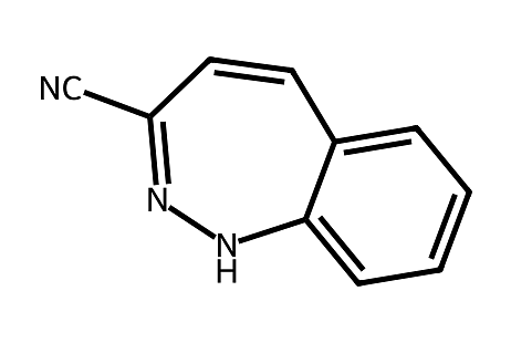 N#CC1=NNc2ccccc2C=C1